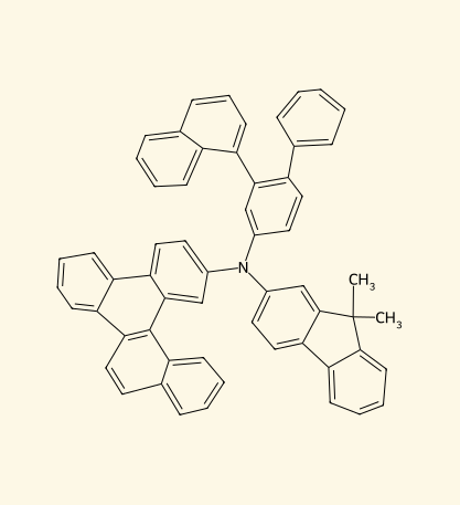 CC1(C)c2ccccc2-c2ccc(N(c3ccc(-c4ccccc4)c(-c4cccc5ccccc45)c3)c3ccc4c5ccccc5c5ccc6ccccc6c5c4c3)cc21